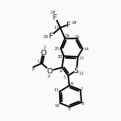 CC(=O)Oc1c(-c2ccccc2)sc2ccc(C(F)(F)F)cc12